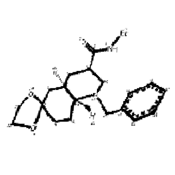 CCNC(=O)[C@@H]1C[C@@H]2CC3(CC[C@H]2N(Cc2ccccc2)C1)OCCO3